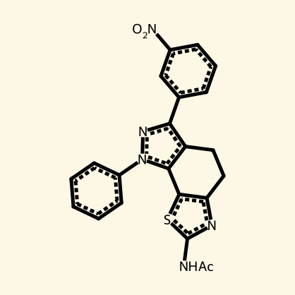 CC(=O)Nc1nc2c(s1)-c1c(c(-c3cccc([N+](=O)[O-])c3)nn1-c1ccccc1)CC2